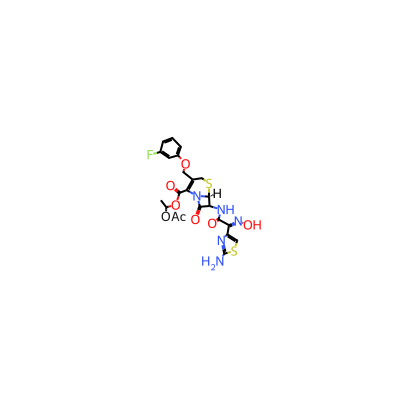 CC(=O)OC(C)OC(=O)C1=C(COc2cccc(F)c2)CS[C@H]2C(NC(=O)C(=NO)c3csc(N)n3)C(=O)N12